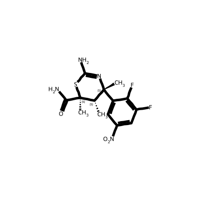 C[C@@H]1[C@@](C)(C(N)=O)SC(N)=N[C@]1(C)c1cc([N+](=O)[O-])cc(F)c1F